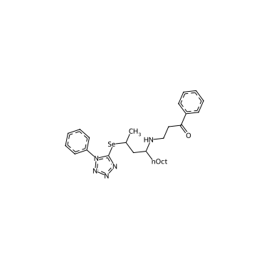 CCCCCCCCC(CC(C)[Se]c1nnnn1-c1ccccc1)NCCC(=O)c1ccccc1